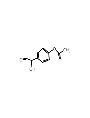 CC(=O)Oc1ccc(C(O)[C]=O)cc1